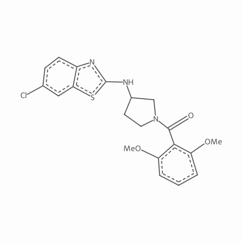 COc1cccc(OC)c1C(=O)N1CCC(Nc2nc3ccc(Cl)cc3s2)C1